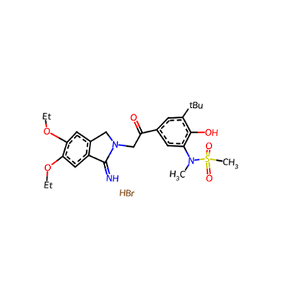 Br.CCOc1cc2c(cc1OCC)C(=N)N(CC(=O)c1cc(N(C)S(C)(=O)=O)c(O)c(C(C)(C)C)c1)C2